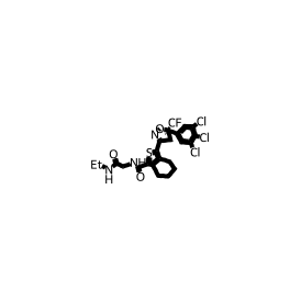 CCNC(=O)CNC(=O)c1sc(C2=NO[C@@](c3cc(Cl)c(Cl)c(Cl)c3)(C(F)(F)F)C2)c2c1CCCC2